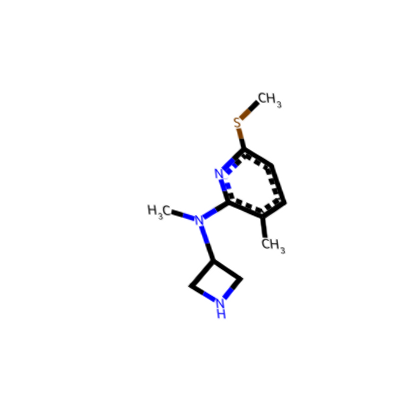 CSc1ccc(C)c(N(C)C2CNC2)n1